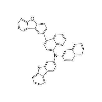 c1ccc2cc(N(c3ccc4c(c3)sc3ccccc34)c3ccc(-c4ccc5oc6ccccc6c5c4)c4ccccc34)ccc2c1